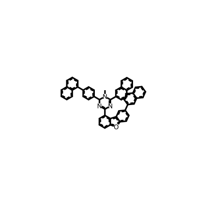 CN1C(c2ccc3ccccc3c2)=NC(c2cccc3oc4ccc(-c5ccc6ccccc6c5)cc4c23)=NC1c1ccc(-c2cccc3ccccc23)cc1